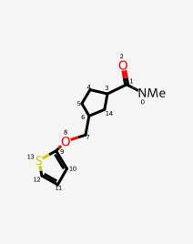 CNC(=O)C1CCC(COc2cccs2)C1